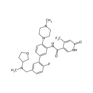 CN1CCN(c2ccc(-c3cc(CN(C)C4CCOC4)ccc3F)cc2NC(=O)c2c[nH]c(=O)cc2C(F)(F)F)CC1